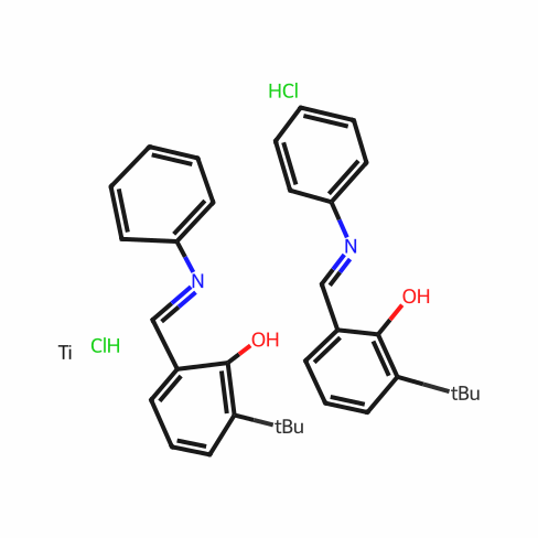 CC(C)(C)c1cccc(C=Nc2ccccc2)c1O.CC(C)(C)c1cccc(C=Nc2ccccc2)c1O.Cl.Cl.[Ti]